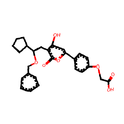 O=C(O)COc1ccc(-c2cc(O)c(CC(OCc3ccccc3)C3CCCC3)c(=O)o2)cc1